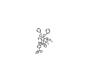 COc1cc(-c2nc3ccc(C(=O)N4CCC4)cc3n2C2(C)COC2)c(F)c(OCc2ccccc2)c1OCc1ccccc1